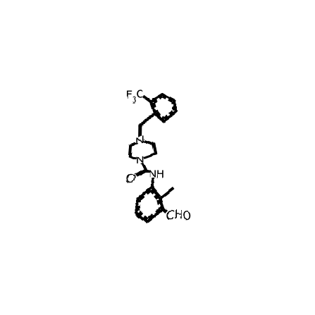 Cc1c(C=O)cccc1NC(=O)N1CCN(Cc2ccccc2C(F)(F)F)CC1